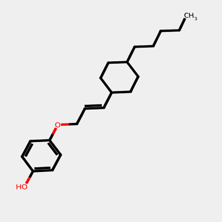 CCCCCC1CCC(/C=C/COc2ccc(O)cc2)CC1